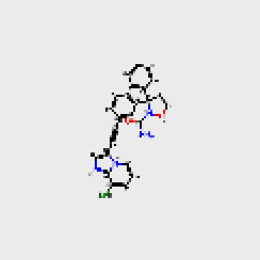 NC(=O)N1OCCC1(c1ccccc1)c1cccc(C#Cc2cnc3c(Br)cccn23)c1